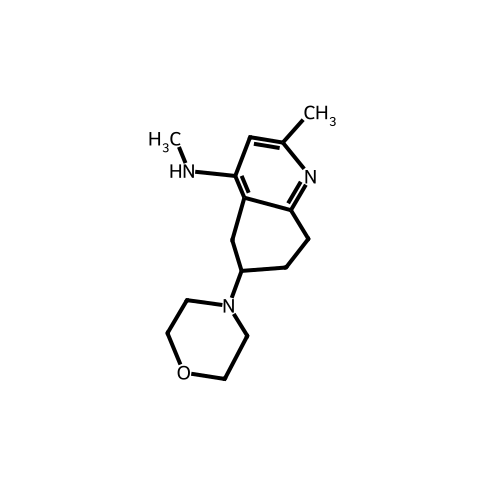 CNc1cc(C)nc2c1CC(N1CCOCC1)CC2